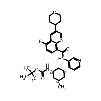 C[C@@H]1C[C@H](NC(=O)OC(C)(C)C)C[C@H](c2ccncc2NC(=O)c2ccc(F)c3cc(C4CCOCC4)cnc23)C1